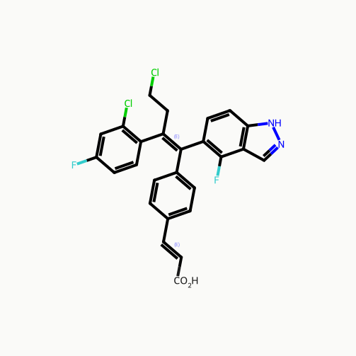 O=C(O)/C=C/c1ccc(/C(=C(/CCCl)c2ccc(F)cc2Cl)c2ccc3[nH]ncc3c2F)cc1